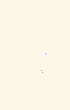 COC(=O)CC(O)C(=O)O.N